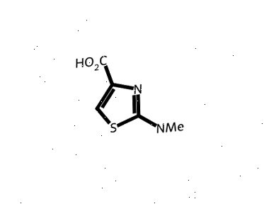 CNc1nc(C(=O)O)cs1